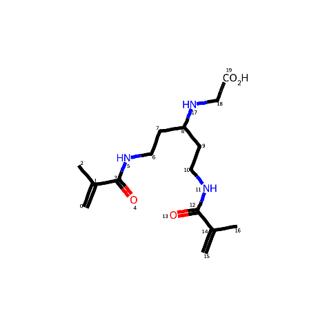 C=C(C)C(=O)NCCC(CCNC(=O)C(=C)C)NCC(=O)O